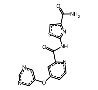 NC(=O)c1csc(NC(=O)c2cc(Oc3cncnc3)ccn2)n1